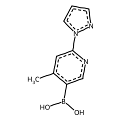 Cc1cc(-n2cccn2)ncc1B(O)O